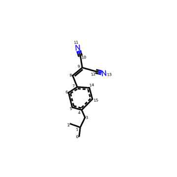 CC(C)Cc1ccc(C=C(C#N)C#N)cc1